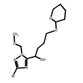 COCn1nc(Br)nc1C(O)CCCOC1CCCCO1